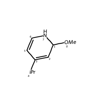 COC1C=C(C(C)C)C=CN1